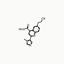 COC(=O)c1cc(-c2cncn2C)nc2ccc(CCC#N)cc12